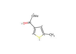 COC(=O)c1[c]sc(C)c1